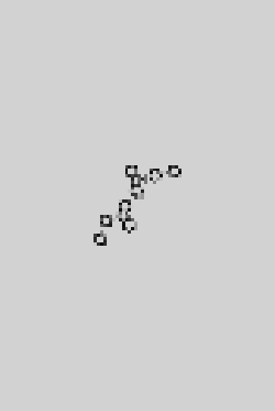 c1ccc(-c2ccc(-n3c4ccccc4c4cc(-c5ccc6c(c5)c5ccccc5n6-c5cccc(-c6ccccc6)c5)ncc43)cc2)cc1